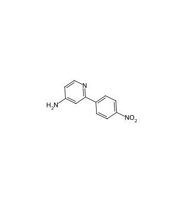 Nc1ccnc(-c2ccc([N+](=O)[O-])cc2)c1